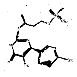 CC(CCO[Si](C)(C)C(C)(C)C)Sc1nc(-c2ccc(C(C)(C)C)nc2)c(C#N)c(=O)[nH]1